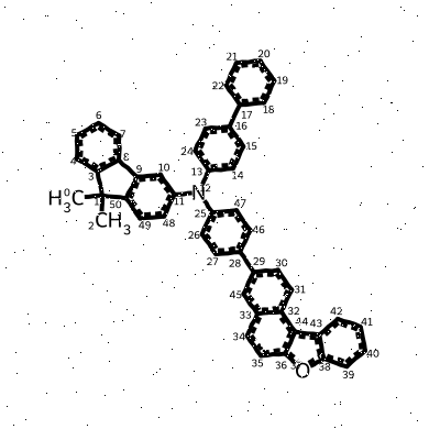 CC1(C)c2ccccc2-c2cc(N(c3ccc(-c4ccccc4)cc3)c3ccc(-c4ccc5c(ccc6oc7ccccc7c65)c4)cc3)ccc21